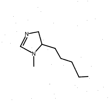 CCCCCC1CN=CN1C